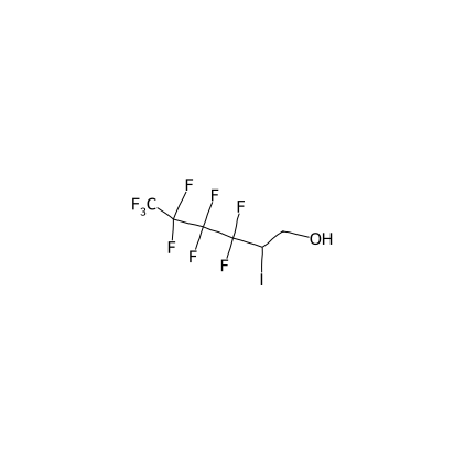 OCC(I)C(F)(F)C(F)(F)C(F)(F)C(F)(F)F